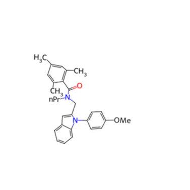 CCCN(Cc1cc2ccccc2n1-c1ccc(OC)cc1)C(=O)c1c(C)cc(C)cc1C